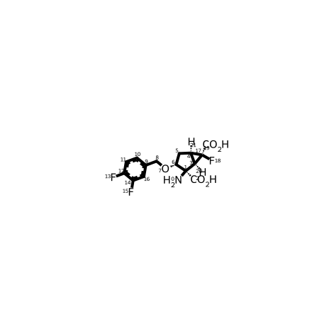 N[C@]1(C(=O)O)[C@H]2[C@@H](C[C@H]1OCc1ccc(F)c(F)c1)[C@]2(F)C(=O)O